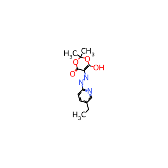 CCc1ccc(N=NC2=C(O)OC(C)(C)OC2=O)nc1